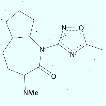 CNC1CCC2CCCC2N(c2noc(C)n2)C1=O